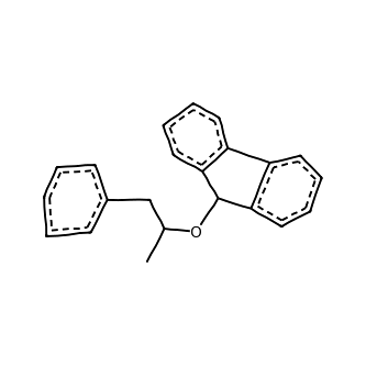 CC(Cc1ccccc1)OC1c2ccccc2-c2ccccc21